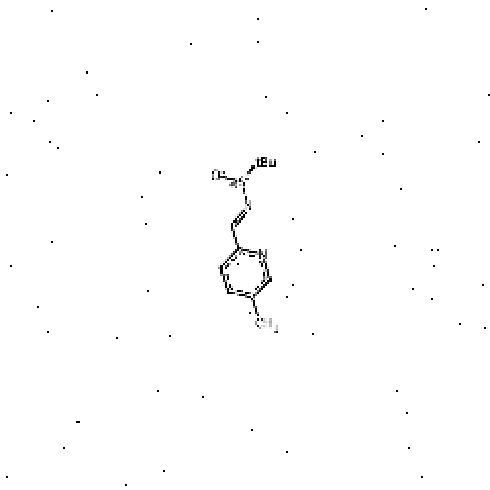 Cc1ccc(C=N[S@@+]([O-])C(C)(C)C)nc1